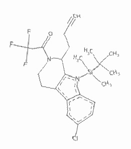 C#CCCC1c2c(c3cc(Cl)ccc3n2[Si](C)(C)C(C)(C)C)CCN1C(=O)C(F)(F)F